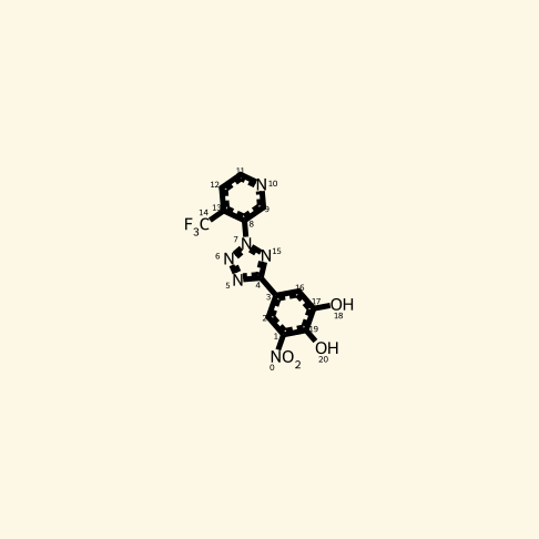 O=[N+]([O-])c1cc(-c2nnn(-c3cnccc3C(F)(F)F)n2)cc(O)c1O